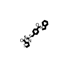 Cn1c(SCc2ccc(C(=O)n3ccc4ccccc43)cc2)nc2ccsc2c1=O